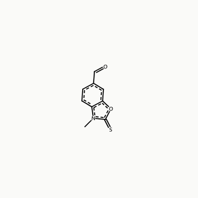 Cn1c(=S)oc2cc(C=O)ccc21